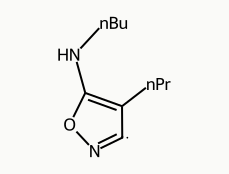 CCCCNc1on[c]c1CCC